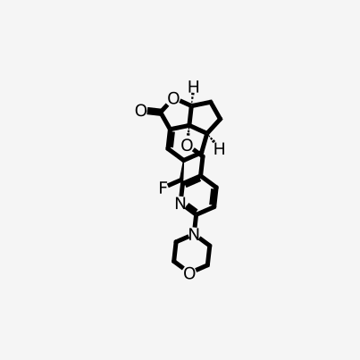 O=C1O[C@H]2CC[C@H]3C[C@@H](CF)C=C1[C@]32OCc1ccc(N2CCOCC2)nc1